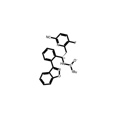 CC(C)(C)[S+]([O-])N[C@@H](Cc1nc(C#N)ccc1F)c1ccccc1-c1noc2ccccc12